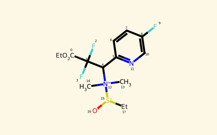 CCOC(=O)C(F)(F)C(c1ccc(F)cn1)[N+](C)(C)[S+]([O-])CC